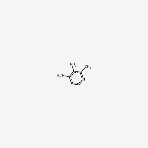 Cc1nccc(N)c1N